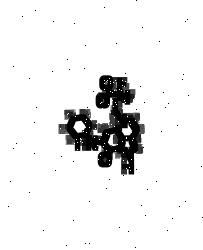 C[n+]1ccc2c[nH]c3c2c1C=C(NC1CCCCC1)C3=O.O=C([O-])C(F)(F)F